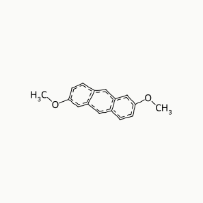 COc1ccc2cc3cc(OC)ccc3cc2c1